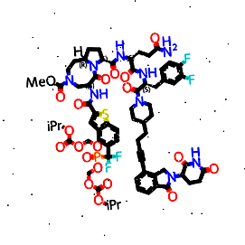 COC(=O)N1CC[C@H]2CC[C@@H](C(=O)N[C@@H](CCC(N)=O)C(=O)N[C@@H](Cc3ccc(F)c(F)c3)C(=O)N3CCC(CCC#Cc4cccc5c4CN(C4CCC(=O)NC4=O)C5=O)CC3)N2C(=O)[C@@H](NC(=O)c2cc3cc(C(F)(F)P(=O)(OCOC(=O)OC(C)C)OCOC(=O)OC(C)C)ccc3s2)C1